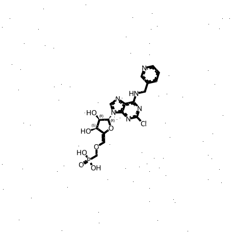 O=P(O)(O)COC=C1O[C@@H](n2cnc3c(NCc4cccnc4)nc(Cl)nc32)[C@H](O)[C@@H]1O